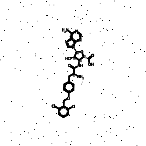 Nc1ncnc2c1ncn2[C@@H]1O[C@H](C(=O)O)[C@@H](NC(=O)[C@@H](N)Cc2ccc(OCc3c(Cl)cccc3Cl)cc2)[C@H]1O